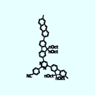 CCCCCCCCC1(CCCCCCCC)c2cc(C)ccc2-c2ccc(-c3cc(-c4ccc5c(c4)C(CCCCCCCC)(CCCCCCCC)c4cc(-c6ccc7cc8cc(C)ccc8cc7c6)ccc4-5)nc(-c4ccc(C#N)cc4)n3)cc21